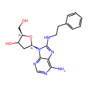 Nc1ncnc2c1nc(NCCc1ccccc1)n2[C@H]1CC(O)[C@@H](CO)O1